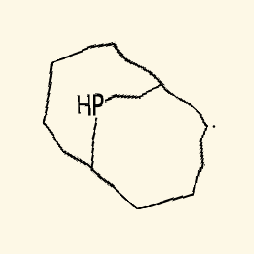 [CH]1CCC2CCCC1P2